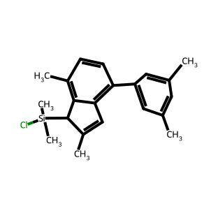 CC1=Cc2c(-c3cc(C)cc(C)c3)ccc(C)c2C1[Si](C)(C)Cl